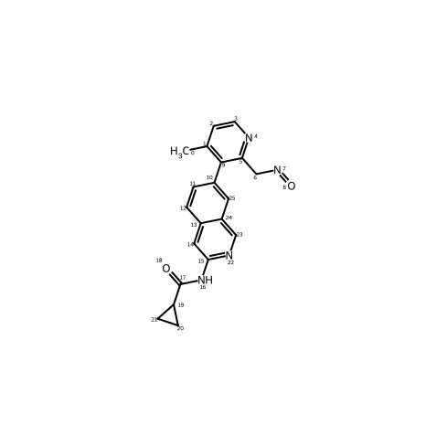 Cc1ccnc(CN=O)c1-c1ccc2cc(NC(=O)C3CC3)ncc2c1